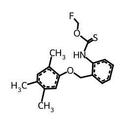 Cc1cc(C)c(OCc2ccccc2NC(=S)OCF)cc1C